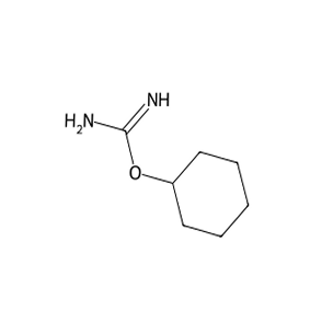 N=C(N)OC1CCCCC1